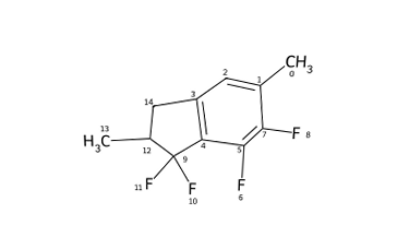 Cc1cc2c(c(F)c1F)C(F)(F)C(C)C2